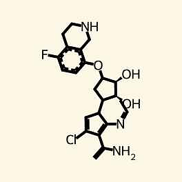 C=C(N)C1=C(/N=C\C)C(C2CC(Oc3ccc(F)c4c3CNCC4)[C@@H](O)[C@H]2O)C=C1Cl